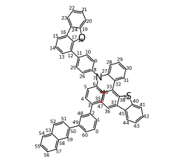 c1cc(-c2ccc(N(c3ccc(-c4cccc5c4oc4ccccc45)cc3)c3ccccc3-c3cccc4c3sc3ccccc34)cc2)cc(-c2ccc3ccccc3c2)c1